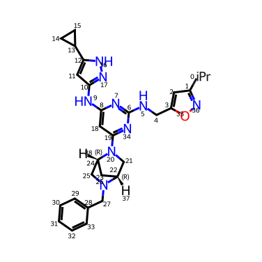 CC(C)c1cc(CNc2nc(Nc3cc(C4CC4)[nH]n3)cc(N3C[C@H]4C[C@@H]3CN4Cc3ccccc3)n2)on1